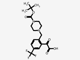 CC(C)(C)OC(=O)N1CCN(Cc2ccc(C(F)(F)F)cc2C(=O)C(=O)O)CC1